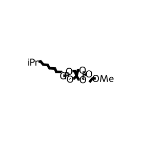 COC(C)OP1OCC2(COP(OCCCCCCCC(C)C)OC2)CO1